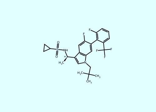 C[C@@H](NS(=O)(=O)C1CC1)c1cn(CC(C)(C)C)c2cc(-c3c(F)cccc3C(F)(F)F)c(F)cc12